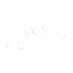 COc1cc(-c2cnn(-c3ccc(C(=O)NCC4CCN(C)CC4)cn3)c2O)ccn1